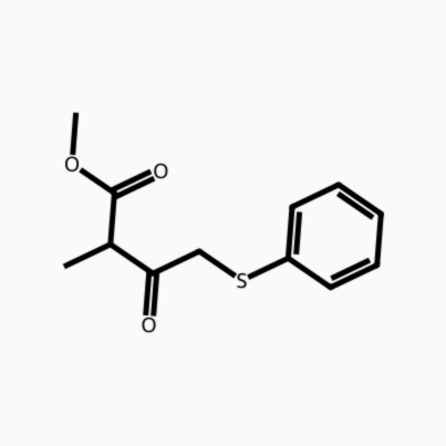 COC(=O)C(C)C(=O)CSc1ccccc1